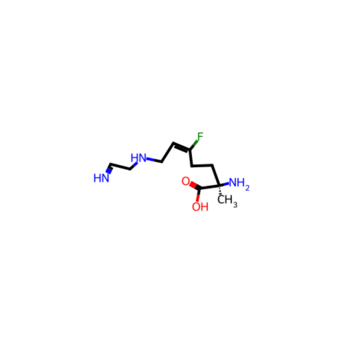 C[C@@](N)(CC/C(F)=C\CNCC=N)C(=O)O